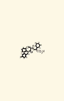 O=C(O)[C@@H](CN[C@H]1COc2ccccc2N(Cc2ccc(F)cc2)C1=O)C1CCCCC1